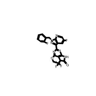 CC12C(=O)Nc3nc(-c4nn(Cc5ccccc5F)c5ncc(F)cc45)nc(c31)OCC2(F)F